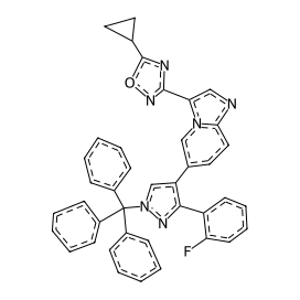 Fc1ccccc1-c1nn(C(c2ccccc2)(c2ccccc2)c2ccccc2)cc1-c1ccc2ncc(-c3noc(C4CC4)n3)n2c1